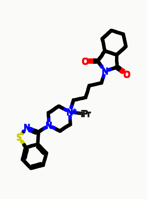 CC(C)[N+]1(CCCCN2C(=O)C3CCCCC3C2=O)CCN(c2nsc3ccccc23)CC1